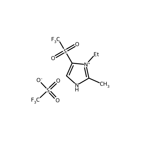 CC[n+]1c(S(=O)(=O)C(F)(F)F)c[nH]c1C.O=S(=O)([O-])C(F)(F)F